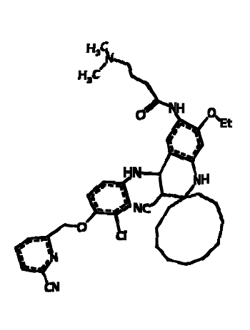 CCOc1cc2c(cc1NC(=O)CCCN(C)C)C(Nc1ccc(OCc3cccc(C#N)n3)c(Cl)c1)C(C#N)C1(CCCCCCCCCC1)N2